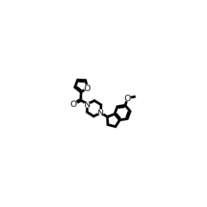 COc1ccc2c(c1)C(N1CCN(C(=O)c3ccco3)CC1)CC2